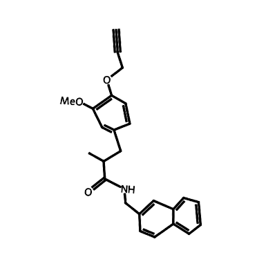 C#CCOc1ccc(CC(C)C(=O)NCc2ccc3ccccc3c2)cc1OC